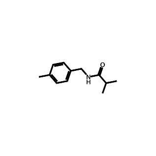 Cc1ccc(CNC(=O)C(C)C)cc1